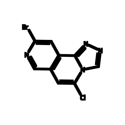 Clc1cc2cnc(Br)cc2c2nncn12